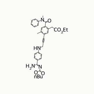 CCCCOC(=O)N=C(N)c1ccc(NCC#Cc2cc(CC(=O)OCC)c(C(=O)N(C)c3ccccc3)cc2C)cc1